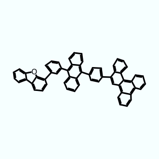 c1cc(-c2c3ccccc3c(-c3ccc(-c4cc5c6ccccc6c6ccccc6c5c5ccccc45)cc3)c3ccccc23)cc(-c2cccc3c2oc2ccccc23)c1